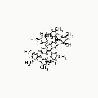 Cc1cc(C)cc(-c2c3ccc(N(c4cc(C)cc(C)c4)c4cc(C)cc(C)c4)cc3c(-c3cc(C)cc(C)c3)c3ccc(N(c4cc(C)cc(C)c4)c4cc(C)cc(C)c4)cc23)c1